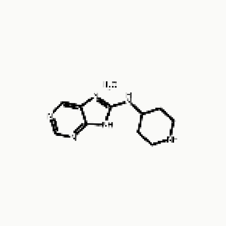 O.c1ncc2nc(NC3CCNCC3)[nH]c2n1